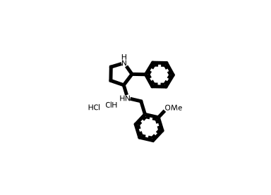 COc1ccccc1CNC1CCNC1c1ccccc1.Cl.Cl